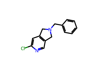 Clc1cc2c(cn1)CN(Cc1ccccc1)C2